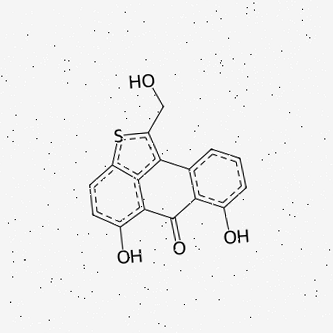 O=C1c2c(O)cccc2-c2c(CO)sc3ccc(O)c1c23